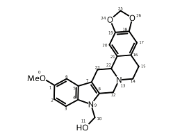 COc1ccc2c(c1)c1c(n2CO)CN2CCc3cc4c(cc3C2C1)OCO4